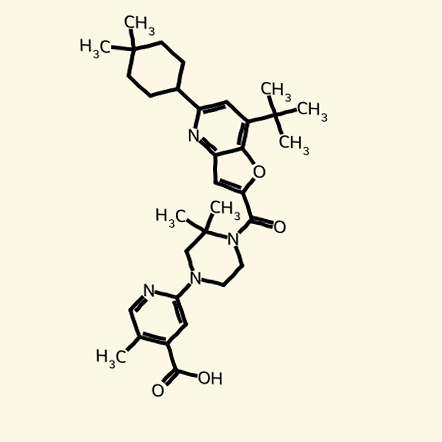 Cc1cnc(N2CCN(C(=O)c3cc4nc(C5CCC(C)(C)CC5)cc(C(C)(C)C)c4o3)C(C)(C)C2)cc1C(=O)O